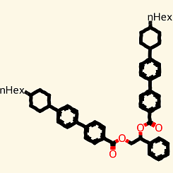 CCCCCCC1CCC(c2ccc(-c3ccc(C(=O)OCC(OC(=O)c4ccc(-c5ccc(C6CCC(CCCCCC)CC6)cc5)cc4)c4ccccc4)cc3)cc2)CC1